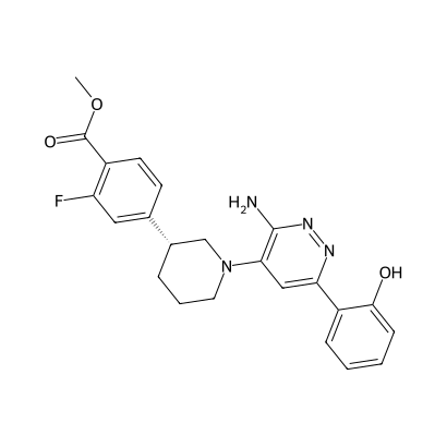 COC(=O)c1ccc([C@H]2CCCN(c3cc(-c4ccccc4O)nnc3N)C2)cc1F